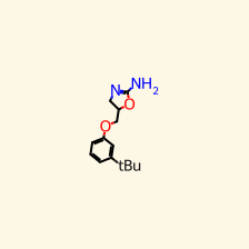 CC(C)(C)c1cccc(OCC2CN=C(N)O2)c1